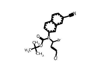 CC(C)(C)OC(=O)N(c1ccc2ccc(C#N)cc2c1)C(Br)C=CCl